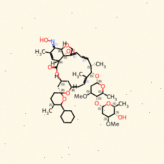 CO[C@H]1C[C@H](O[C@H]2[C@H](C)O[C@@H](O[C@@H]3/C(C)=C/C[C@@H]4C[C@@H](C[C@]5(CC[C@H](C)C(C6CCCCC6)O5)O4)OC(=O)[C@@H]4C=C(C)/C(=N\O)[C@H]5OC/C(=C\C=C\[C@@H]3C)[C@]54O)C[C@@H]2OC)O[C@@H](C)[C@@H]1O